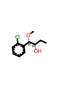 CC[C@H](O)[C@@H](OC)c1ccccc1Cl